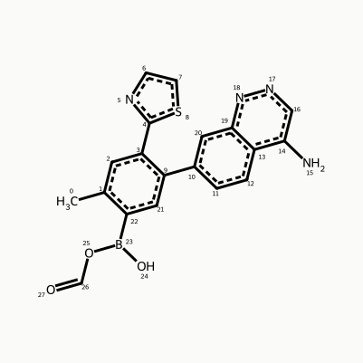 Cc1cc(-c2nccs2)c(-c2ccc3c(N)cnnc3c2)cc1B(O)OC=O